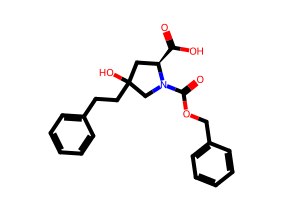 O=C(O)[C@@H]1CC(O)(CCc2ccccc2)CN1C(=O)OCc1ccccc1